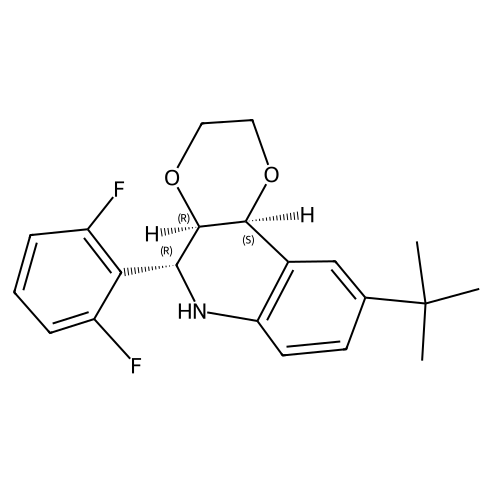 CC(C)(C)c1ccc2c(c1)[C@@H]1OCCO[C@@H]1[C@@H](c1c(F)cccc1F)N2